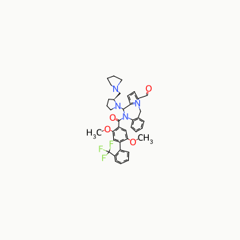 COc1cc(-c2ccccc2C(F)(F)F)c(OC)cc1C(=O)N1c2ccccc2Cn2c(C=O)ccc2C1N1CCC[C@H]1CN1CCCC1